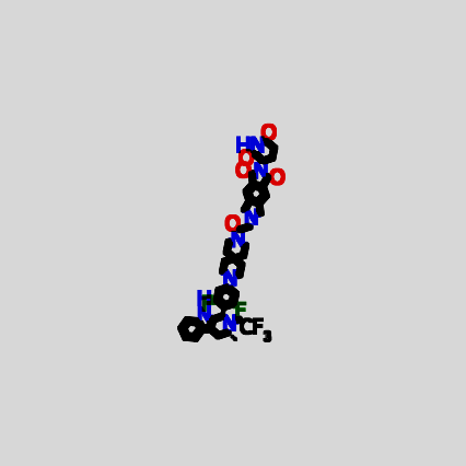 C[C@@H]1Cc2c([nH]c3ccccc23)[C@@H](c2c(F)cc(N3CCC4(CCN(C(=O)CN5Cc6cc7c(cc6C5)C(=O)N(C5CCC(=O)NC5=O)C7=O)CC4)CC3)cc2F)N1CC(F)(F)F